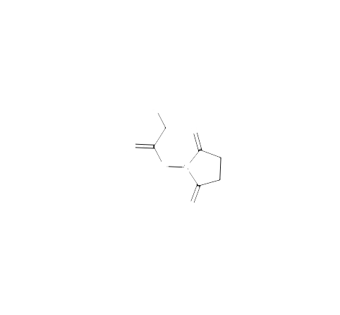 C=C(CBr)ON1C(=O)CCC1=O